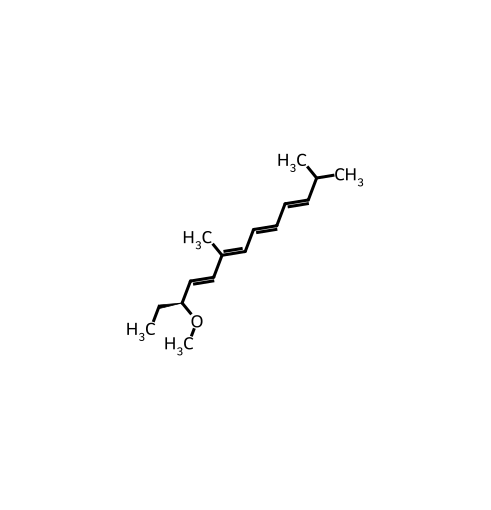 CC[C@@H](/C=C/C(C)=C/C=C/C=C/C(C)C)OC